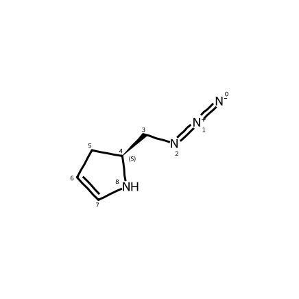 [N-]=[N+]=NC[C@@H]1CC=CN1